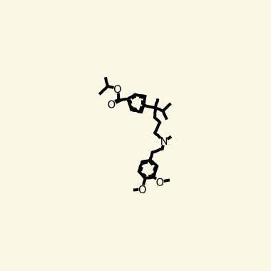 COc1ccc(CCN(C)CCCC(C)(c2ccc(C(=O)OC(C)C)cc2)C(C)C)cc1OC